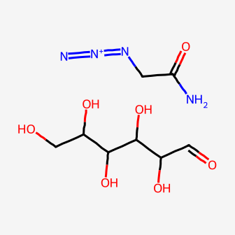 O=CC(O)C(O)C(O)C(O)CO.[N-]=[N+]=NCC(N)=O